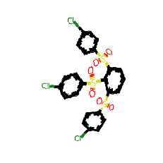 O=S(=O)(c1ccc(Cl)cc1)c1cccc(S(=O)(=O)c2ccc(Cl)cc2)c1S(=O)(=O)c1ccc(Cl)cc1